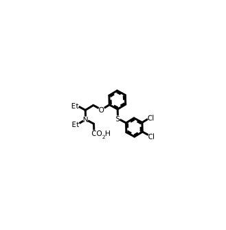 CCC(COc1ccccc1Sc1ccc(Cl)c(Cl)c1)N(CC)CC(=O)O